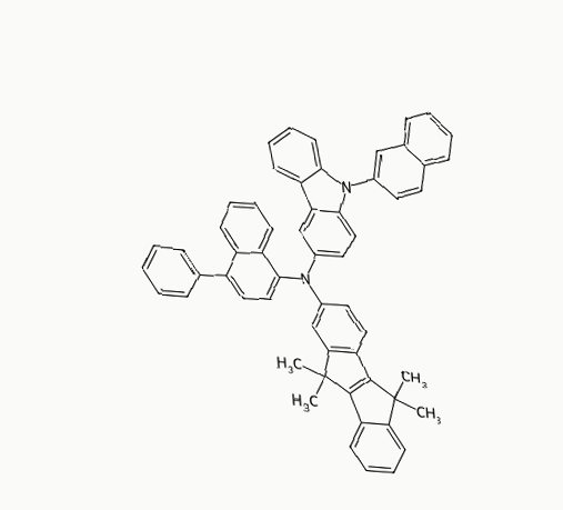 CC1(C)C2=C(c3ccccc31)C(C)(C)c1cc(N(c3ccc4c(c3)c3ccccc3n4-c3ccc4ccccc4c3)c3ccc(-c4ccccc4)c4ccccc34)ccc12